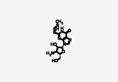 CN/C=N\c1nc2c(ncn2[C@@H]2O[C@H](CO)C(N)C2O)c(=O)[nH]1